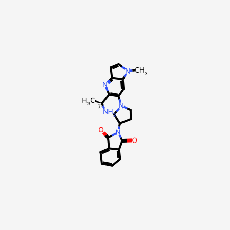 C[C@H](N)c1nc2ccn(C)c2cc1N1CCC(N2C(=O)c3ccccc3C2=O)C1